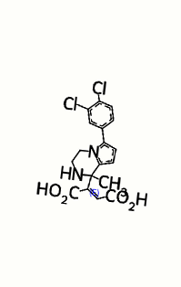 CC1(/C(=C\C(=O)O)C(=O)O)NCCn2c(-c3ccc(Cl)c(Cl)c3)ccc21